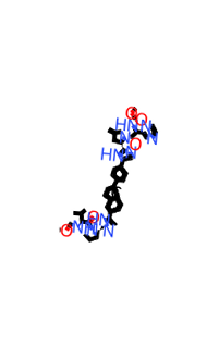 C=C1C[C@@H](c2ncc(-c3ccc(-c4ccc5cc(-c6cnc([C@@H]7CCCN7C(=O)[C@@H](NCOC)C(C)C)[nH]6)ccc5c4)cc3)[nH]2)N(C(=O)C(NC(=O)OC)c2cnccn2)C1